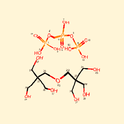 O=P(O)(O)OP(=O)(O)OP(=O)(O)O.OCC(CO)(CO)COCC(CO)(CO)CO